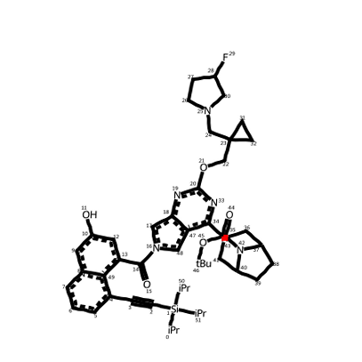 CC(C)[Si](C#Cc1cccc2cc(O)cc(C(=O)n3cc4nc(OCC5(CN6CCC(F)C6)CC5)nc(N5CC6CCC(C5)N6C(=O)OC(C)(C)C)c4c3)c12)(C(C)C)C(C)C